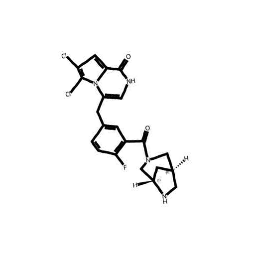 O=C(c1cc(Cc2c[nH]c(=O)c3cc(Cl)c(Cl)n23)ccc1F)N1C[C@H]2CN[C@@H](C2)C1